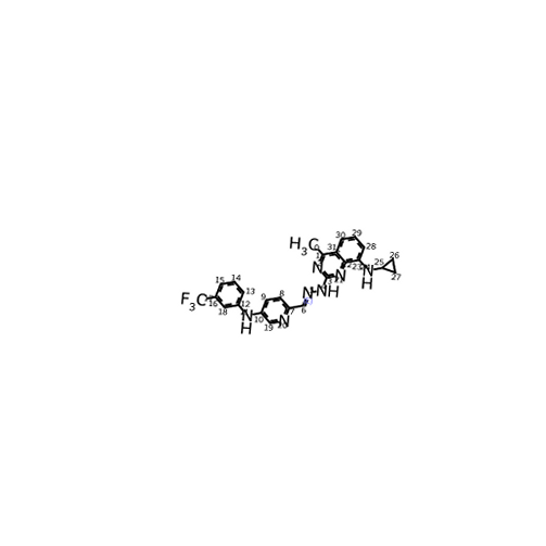 Cc1nc(N/N=C/c2ccc(Nc3cccc(C(F)(F)F)c3)cn2)nc2c(NC3CC3)cccc12